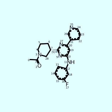 CC(=O)N1CCC[C@H](c2nc(Nc3cccc(F)c3)cc(-c3cccnc3)n2)C1